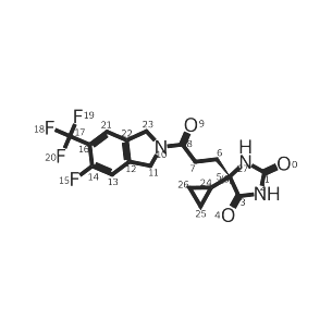 O=C1NC(=O)[C@](CCC(=O)N2Cc3cc(F)c(C(F)(F)F)cc3C2)(C2CC2)N1